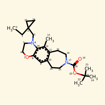 CCC1(CN2CCOc3cc4c(c(C)c32)CCN(C(=O)OC(C)(C)C)CC4)CC1